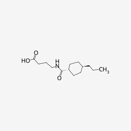 CCC[C@H]1CC[C@H](C(=O)NCCCC(=O)O)CC1